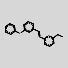 CCc1cccc(C=Cc2cccc(Oc3ccccc3)c2)n1